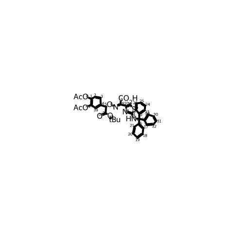 CC(=O)Oc1ccc(C(O/N=C(\C(=O)O)c2csc(NC(c3ccccc3)(c3ccccc3)c3ccccc3)n2)C(=O)OC(C)(C)C)cc1OC(C)=O